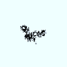 Nc1c(Br)c(C2CCC(CC(=O)c3cccs3)CC2)nc2c(-c3cnc4ccccc4c3)cnn12